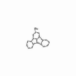 CCC(C)c1cc2c3ccccc3n3c4ccccc4c(c1)c23